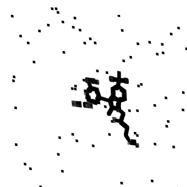 COc1cc(-c2c(C)n(C/C(F)=C/CN)c3ccc(S(C)(=O)=O)cc23)ccn1.Cl.Cl